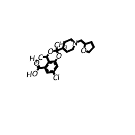 CC1OC(C)(C2CCN(CC3CCCO3)CC2)Oc2cc(Cl)cc(C(=O)O)c21